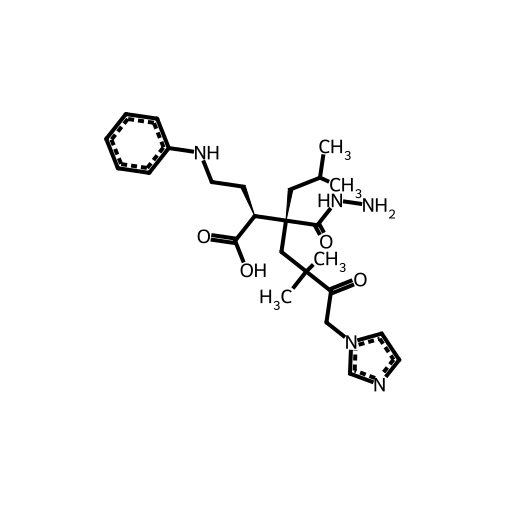 CC(C)C[C@](CC(C)(C)C(=O)Cn1ccnc1)(C(=O)NN)[C@H](CCNc1ccccc1)C(=O)O